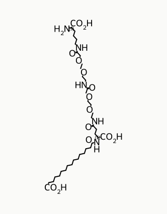 N[C@@H](CCCCNC(=O)COCCOCCNC(=O)COCCOCCNC(=O)CC[C@H](NC(=O)CCCCCCCCCCCCCCC(=O)O)C(=O)O)C(=O)O